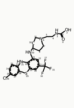 O=C(O)NCCN1CCC(Nc2cc(C(F)(F)F)cc3c2Nc2ccc(Cl)cc2S3)CC1